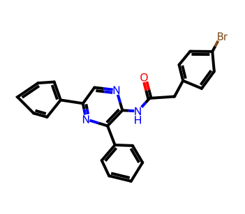 O=C(Cc1ccc(Br)cc1)Nc1ncc(-c2ccccc2)nc1-c1ccccc1